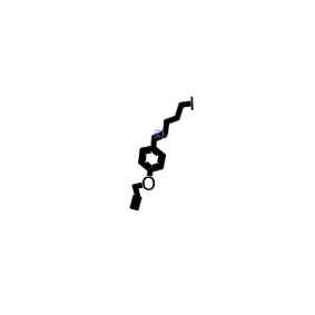 C#CCOc1ccc(/C=C/CCCI)cc1